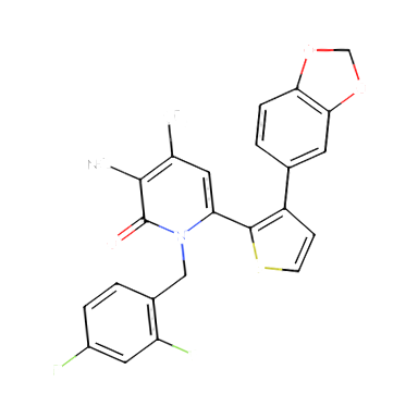 N#Cc1c(C(F)(F)F)cc(-c2sccc2-c2ccc3c(c2)OCO3)n(Cc2ccc(F)cc2F)c1=O